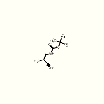 C#CC(C)CNC(=O)OC(C)(C)C